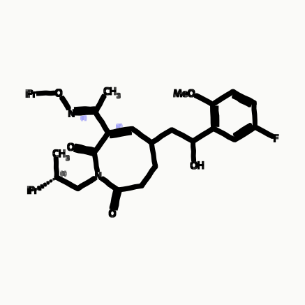 COc1ccc(F)cc1C(O)CC1/C=C(/C(C)=N/OC(C)C)C(=O)N(C[C@@H](C)C(C)C)C(=O)CC1